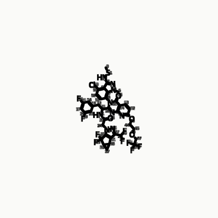 CSNc1nn(C)c2c(-n3c(C(Cc4cc(F)cc(F)c4)NC(=O)Cn4nc(C(F)F)c5c4C(F)(F)C4CC54)nc4nc(OCCOCC(F)(F)F)ccc4c3=O)ccc(Cl)c12